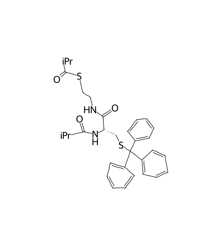 CC(C)C(=O)N[C@@H](CSC(c1ccccc1)(c1ccccc1)c1ccccc1)C(=O)NCCSC(=O)C(C)C